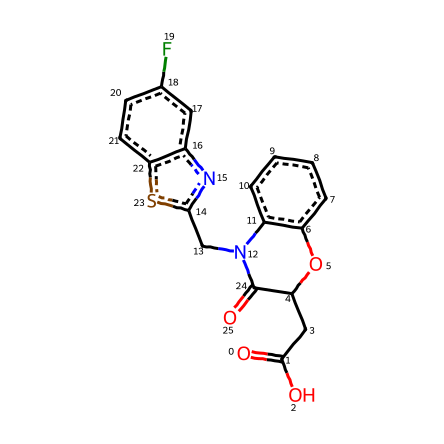 O=C(O)CC1Oc2ccccc2N(Cc2nc3cc(F)ccc3s2)C1=O